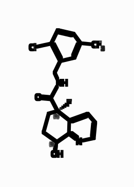 O=C(NCc1cc(C(F)(F)F)ccc1Cl)[C@]1(F)CC[C@H](O)c2ncccc21